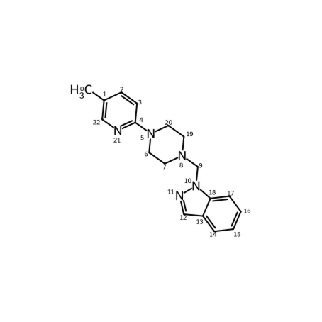 Cc1ccc(N2CCN(Cn3ncc4ccccc43)CC2)nc1